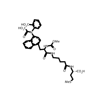 COC(=O)NC(Cc1ccc(N(C(=O)C(=O)O)c2ccccc2C(=O)O)c2ccccc12)C(=O)NCCCCC(=O)N[C@@H](CCSC)C(=O)O